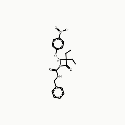 CCC1(CC)C(=O)N(C(=O)NCc2ccccc2)[C@@H]1Oc1ccc([N+](=O)[O-])cc1